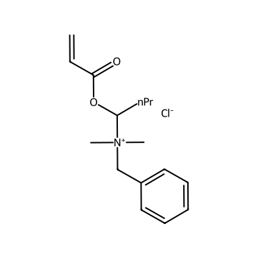 C=CC(=O)OC(CCC)[N+](C)(C)Cc1ccccc1.[Cl-]